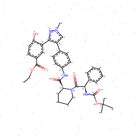 CCOC(=O)c1ccc(O)c(-c2nn(C)cc2-c2ccc(NC(=O)[C@@H]3CCCCN3C(=O)[C@H](NC(=O)OC(C)(C)C)c3ccccc3)cc2)c1